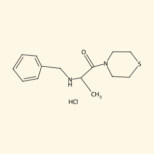 CC(NCc1ccccc1)C(=O)N1CCSCC1.Cl